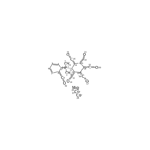 C[PH](C)(C1C=CC=CC1=C=O)C1C(=C=O)C(=C=O)C(=C=O)C(=C=O)C1=C=O.[Co].[Co].[Mg]